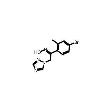 Cc1cc(Br)ccc1C(Cn1cncn1)=NO